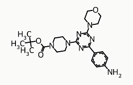 CC(C)(C)OC(=O)N1CCN(c2nc(-c3ccc(N)cc3)nc(N3CCOCC3)n2)CC1